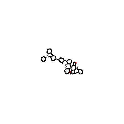 c1ccc(-n2c3ccccc3c3cc(-c4ccc(-c5cccc6c5Sc5ccccc5C65c6ccccc6-n6c7ccccc7c7cccc5c76)cc4)ccc32)cc1